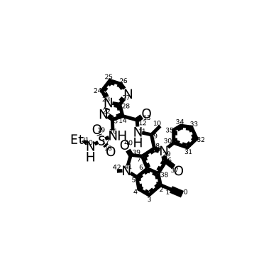 C#Cc1ccc2c3c(c(C(C)NC(=O)c4c(NS(=O)(=O)NCC)nn5cccnc45)n(-c4ccccc4)c(=O)c13)C(=O)N2C